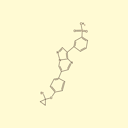 CCC1(Oc2ccc(-c3cnc4c(-c5cccc(S(C)(=O)=O)c5)cnn4c3)cc2)CC1